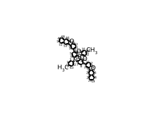 Cc1ccc(N2c3ccc(-c4ccc5oc6cc7ccccc7cc6c5c4)c4c3B3c5c(cc(C)cc5Oc5c(-c6ccc7oc8cc9ccccc9cc8c7c6)ccc2c53)O4)cc1